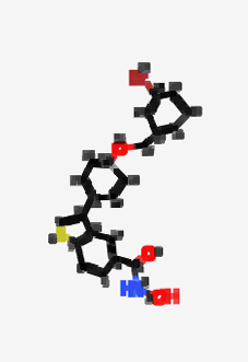 O=C(NO)c1ccc2scc(-c3ccc(OCc4cccc(Br)c4)cc3)c2c1